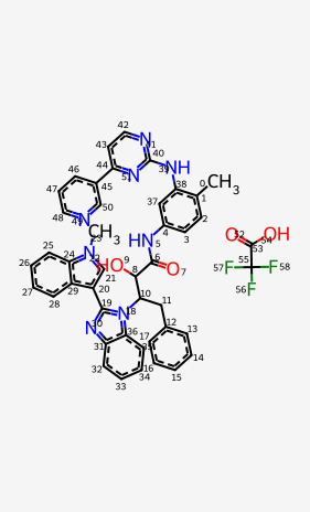 Cc1ccc(NC(=O)C(O)C(Cc2ccccc2)n2c(-c3cn(C)c4ccccc34)nc3ccccc32)cc1Nc1nccc(-c2cccnc2)n1.O=C(O)C(F)(F)F